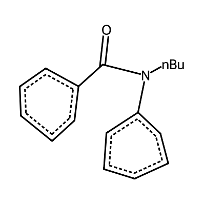 CCCCN(C(=O)c1ccccc1)c1ccccc1